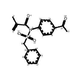 C=C(C)C(=O)N(c1ccc(C(C)=O)cc1)S(=O)(=O)Cc1ccccc1